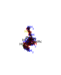 CC(=O)N[C@H](C(=O)N[C@@H](CCCCNC(=O)CCC(=O)OC[C@H]1O[C@@H](n2ccc(N)nc2=O)CS1)C(=O)N[C@H](C(=O)N[C@@H](CCCCNC(=O)CCC(=O)OCC(S)OCn1ccc(N)nc1=O)C(=O)N[C@H](C(=O)N[C@@H](CCCCNC(=O)CCC(=O)OC[C@H]1O[C@@H](n2ccc(N)nc2=O)CS1)C(=O)N[C@@H](CCC(=O)O)C(=O)N[C@@H](CCC(=O)O)C(=O)N[C@@H](CCC(O)O)C(N)=O)C(C)C)C(C)C)C(C)C